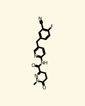 CN1N=C(C(=O)Nc2ccc(Cc3ccc(F)c(C#N)c3)cn2)CCC1=O